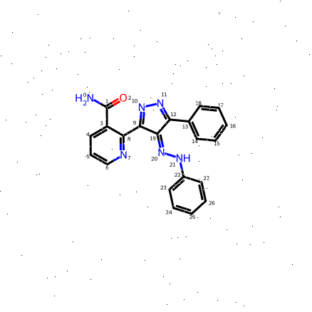 NC(=O)c1cccnc1C1=NN=C(c2ccccc2)C1=NNc1ccccc1